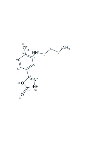 NCCCNc1cc(-c2n[nH]c(=O)o2)ccc1C(F)(F)F